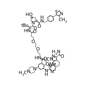 COc1c(Nc2ncc3c(n2)-c2c(c(C(N)=O)nn2C)CC3)cc(N2CCN(C)CC2)cc1C(=O)NCCOCCOCCC(=O)N[C@H](C(=O)N1C[C@H](O)C[C@H]1C(=O)NCc1ccc(-c2scnc2C)cc1)C(C)(C)C